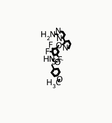 COc1ccc(C[S+]([O-])Nc2c(F)cc(Oc3ncccc3-c3ccnc(N)n3)c(F)c2F)cc1